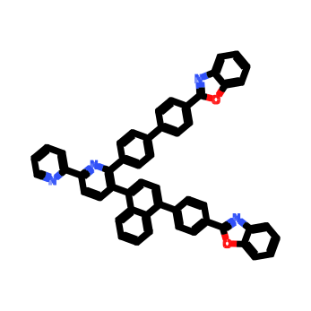 c1ccc(-c2ccc(-c3ccc(-c4ccc(-c5nc6ccccc6o5)cc4)c4ccccc34)c(-c3ccc(-c4ccc(-c5nc6ccccc6o5)cc4)cc3)n2)nc1